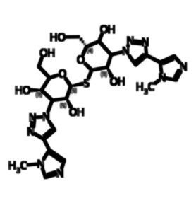 Cn1cncc1-c1cn(C2C(O)[C@@H](CO)OC(S[C@@H]3OC(CO)[C@H](O)C(n4cc(-c5cncn5C)nn4)[C@@H]3O)[C@@H]2O)nn1